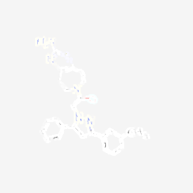 Cc1cccc(-c2cc(-c3ccccc3)n(CC(=O)N3CCc4nc(N)sc4CC3)n2)c1